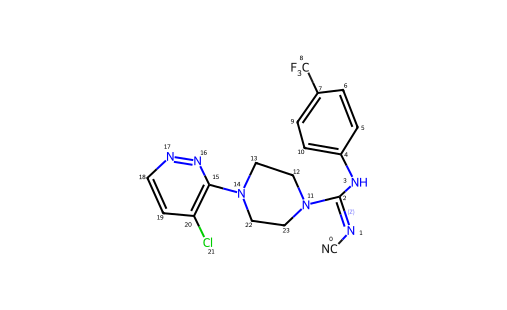 N#C/N=C(/Nc1ccc(C(F)(F)F)cc1)N1CCN(c2nnccc2Cl)CC1